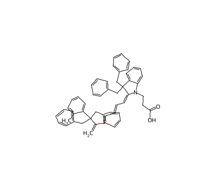 C=C(/C=C/C=C/C=C1/N(CCC(=O)O)c2ccccc2C1(Cc1ccccc1)Cc1ccccc1)C(Cc1ccccc1)(Cc1ccccc1)c1ccccc1C